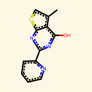 Cc1csc2nc(-c3ccccn3)nc(O)c12